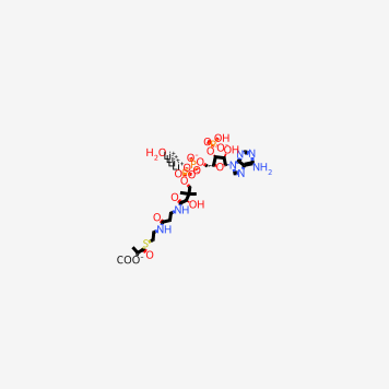 CC(C(=O)[O-])C(=O)SCCNC(=O)CCNC(=O)[C@H](O)C(C)(C)COP(=O)([O-])OP(=O)([O-])OC[C@H]1O[C@@H](n2cnc3c(N)ncnc32)[C@H](O)[C@@H]1OP(=O)([O-])O.O.[Li+].[Li+].[Li+].[Li+]